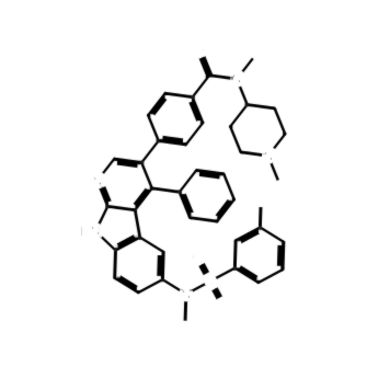 CN1CCC(N(C)C(=O)c2ccc(-c3cnc4[nH]c5ccc(N(C)S(=O)(=O)c6cccc(F)c6)cc5c4c3-c3ccccc3)cc2)CC1